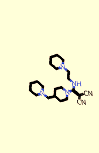 N#CC(C#N)=C(NCCN1CCCCC1)N1CCC(CN2CCCCC2)CC1